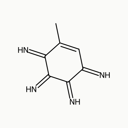 Cc1cc(=N)c(=N)c(=N)c1=N